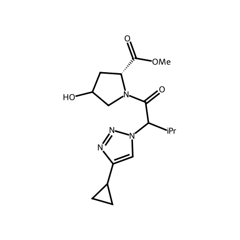 COC(=O)[C@H]1CC(O)CN1C(=O)C(C(C)C)n1cc(C2CC2)nn1